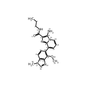 CCCNC(=O)c1nc2c(-c3ccc4c(nnn4C)c3OC)cccn2c1N